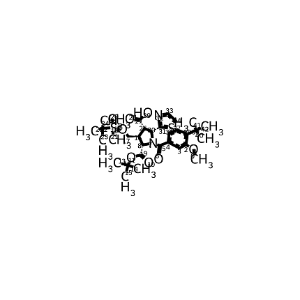 COc1cc(C(=O)N2[C@H](C(=O)OC(C)(C)C)[C@@H](CO[Si](C)(C)C(C)(C)C)[C@H](C(=O)O)[C@@H]2c2nccs2)ccc1C(C)(C)C